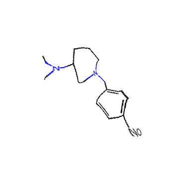 CN(C)C1CCCN(c2ccc(N=O)cc2)C1